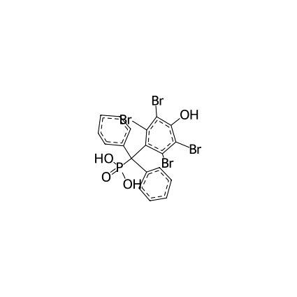 O=P(O)(O)C(c1ccccc1)(c1ccccc1)c1c(Br)c(Br)c(O)c(Br)c1Br